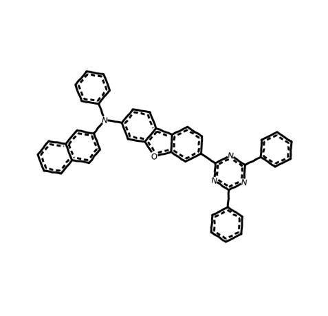 c1ccc(-c2nc(-c3ccccc3)nc(-c3ccc4c(c3)oc3cc(N(c5ccccc5)c5ccc6ccccc6c5)ccc34)n2)cc1